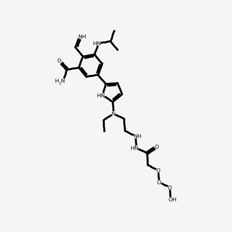 CCN(CCNNC(=O)COOOO)c1ccc(-c2cc(NC(C)C)c(C=N)c(C(N)=O)c2)[nH]1